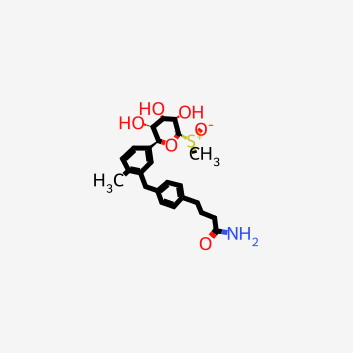 Cc1ccc([C@@H]2O[C@H]([S+](C)[O-])[C@@H](O)[C@H](O)[C@H]2O)cc1Cc1ccc(CCCC(N)=O)cc1